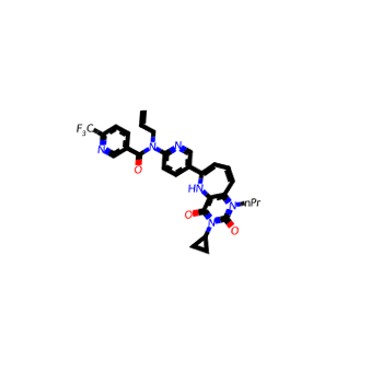 C=CCN(C(=O)c1ccc(C(F)(F)F)nc1)c1ccc(C2=CC=Cc3c(c(=O)n(C4CC4)c(=O)n3CCC)N2)cn1